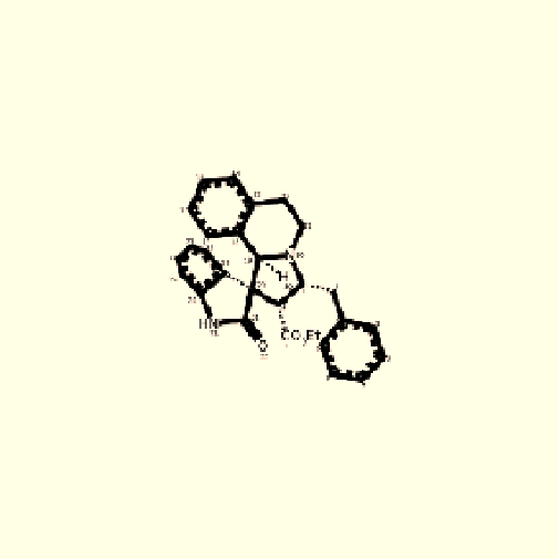 CCOC(=O)[C@H]1[C@@H](Cc2ccccc2)N2CCc3ccccc3[C@@H]2[C@]12C(=O)Nc1ccccc12